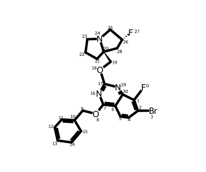 Fc1c(Br)ccc2c(OCc3ccccc3)nc(OC[C@@]34CCCN3C[C@H](F)C4)nc12